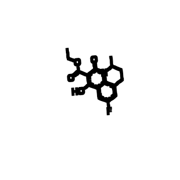 CCOC(=O)c1c(O)c2cc(F)cc3c2n(c1=O)C(C)CC3